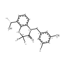 C[C@@H](O)c1cccc2c1OC(F)(F)C(=O)N2Cc1cc(F)cc(C#N)c1